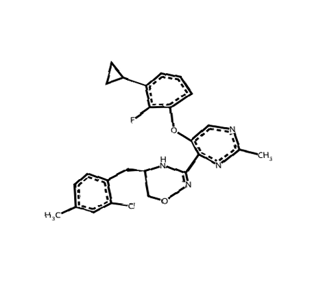 Cc1ccc(C[C@@H]2CON=C(c3nc(C)ncc3Oc3cccc(C4CC4)c3F)N2)c(Cl)c1